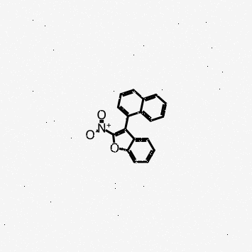 O=[N+]([O-])c1oc2ccccc2c1-c1cccc2ccccc12